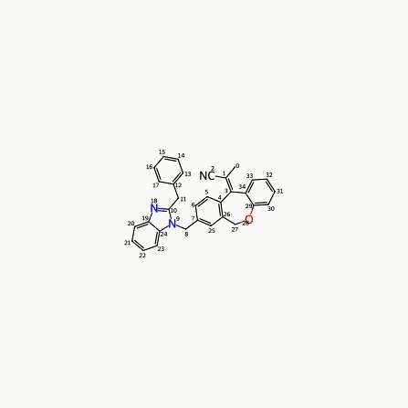 C/C(C#N)=C1/c2ccc(Cn3c(Cc4ccccc4)nc4ccccc43)cc2COc2ccccc21